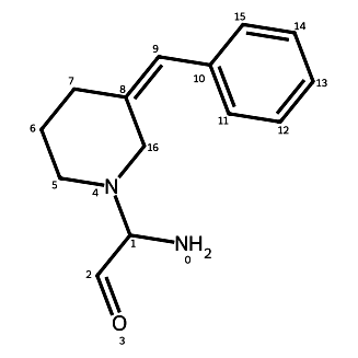 NC(C=O)N1CCCC(=Cc2ccccc2)C1